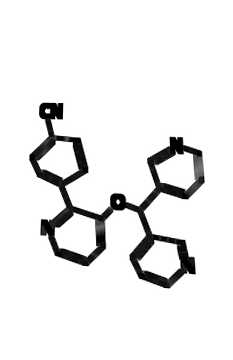 N#Cc1ccc(-c2ncccc2OC(c2cccnc2)c2cccnc2)cc1